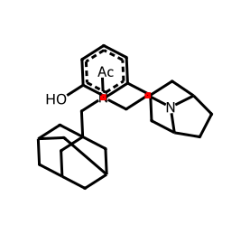 CC(=O)N(CCN1C2CCC1CC(c1cccc(O)c1)C2)CC12CC3CC(CC(C3)C1)C2